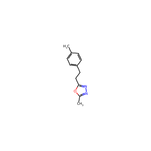 Cc1ccc(CCc2nnc(C)o2)cc1